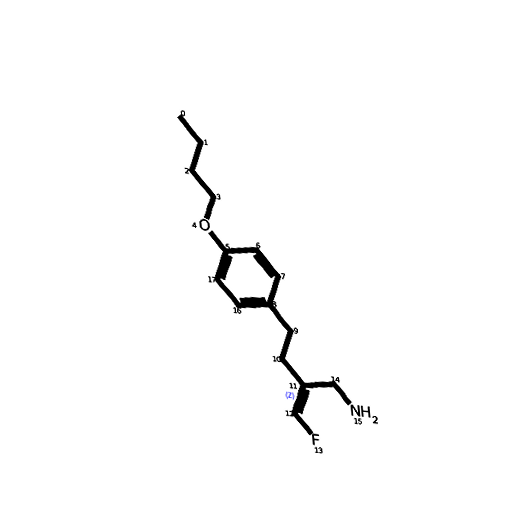 CCCCOc1ccc(CC/C(=C/F)CN)cc1